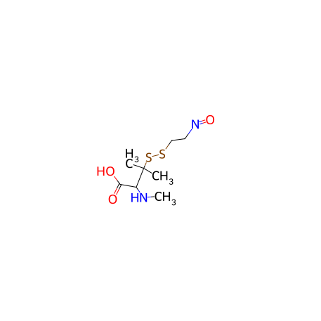 CNC(C(=O)O)C(C)(C)SSCCN=O